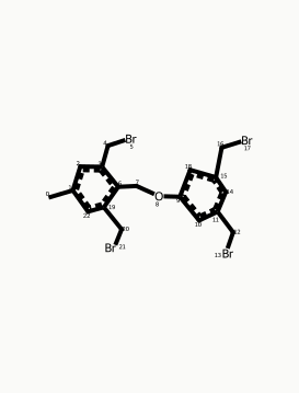 Cc1cc(CBr)c(COc2cc(CBr)cc(CBr)c2)c(CBr)c1